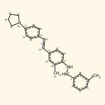 Cc1cccc(NNc2ccc(/N=N/c3ccc(N4CCCC4)cc3)cc2C)c1